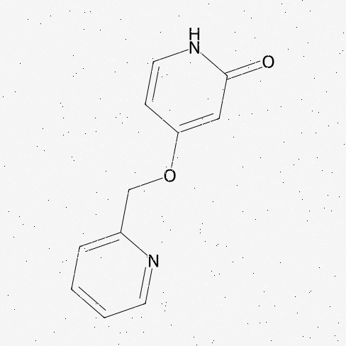 O=c1cc(OCc2ccccn2)cc[nH]1